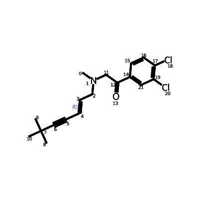 CN(C/C=C/C#CC(C)(C)C)CC(=O)c1ccc(Cl)c(Cl)c1